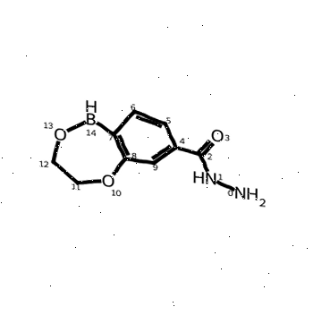 NNC(=O)c1ccc2c(c1)OCCOB2